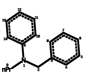 [CH2]CCN(Cc1ccccc1)c1ccccc1